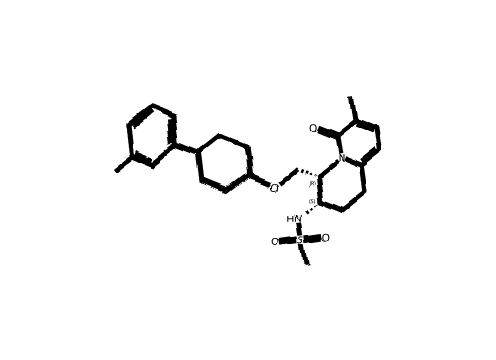 Cc1cccc(C2CCC(OC[C@H]3[C@@H](NS(C)(=O)=O)CCc4ccc(C)c(=O)n43)CC2)c1